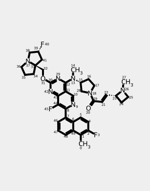 Cc1c(F)ccc2c(-c3ncc4c(N(C)[C@@H]5CCN(C(=O)/C=C/[C@H]6CCN6C)C5)nc(OC[C@@]56CCCN5C[C@H](F)C6)nc4c3F)cccc12